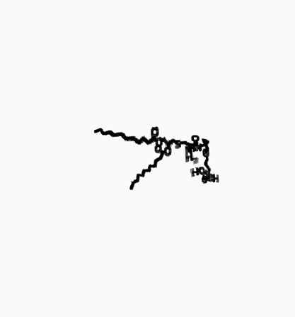 CCCCCCCCCCCC(=O)OC[C@@H](CSC[C@H](N)C(=O)NC1(COCCCP(=O)(O)O)CC1)OC(=O)CCCCCCCCCCC